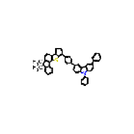 CC1(C)c2ccccc2-c2c1ccc1c2sc2c(-c3ccc(-c4ccc5c(c4)c4cc(-c6ccccc6)ccc4n5-c4ccccc4)cc3)cccc21